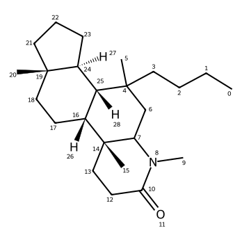 CCCCC1(C)CC2N(C)C(=O)CC[C@]2(C)[C@@H]2CC[C@]3(C)CCC[C@H]3[C@@H]21